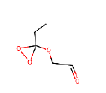 CCC1(OCC=O)OO1